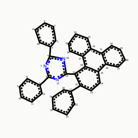 c1ccc(-c2nc(-c3ccccc3)nc(-c3c(-c4ccccc4)ccc4c5ccccc5c5ccccc5c34)n2)cc1